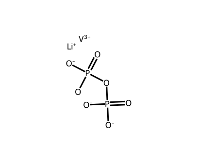 O=P([O-])([O-])OP(=O)([O-])[O-].[Li+].[V+3]